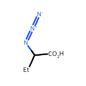 CCC(N=[N+]=[N-])C(=O)O